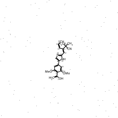 C=C(O)c1c(OC)cc(-c2cnc(/C=C(\C=C/C)C(C)(C)C#N)[nH]2)cc1OC